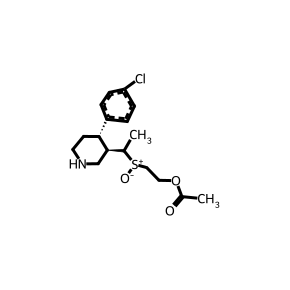 CC(=O)OCC[S+]([O-])C(C)[C@H]1CNCC[C@@H]1c1ccc(Cl)cc1